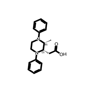 C[C@@H]1[C@H](CC(=O)O)N(c2ccccc2)CCN1c1ccccc1